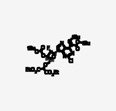 CCOC(=O)C(OC[C@H]1O[C@@H](n2cnc3c(N(OC(C)(C)C)C(=O)OC(C)(C)C)nc(Cl)nc32)[C@@H](F)[C@@H]1OC(=O)OC(C)(C)C)C(=O)OCC